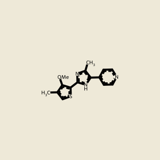 COc1c(C)csc1-c1nc(C)c(-c2ccncc2)[nH]1